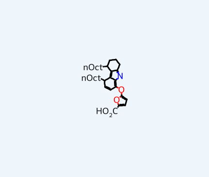 CCCCCCCCC1C=CC(Oc2ccc(C(=O)O)o2)=C2N=C3CCCC(CCCCCCCC)C3=C21